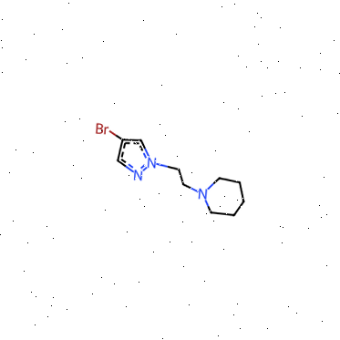 Brc1cnn(CCN2CCCCC2)c1